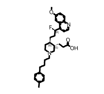 COc1ccc2nccc([C@H](F)CC[C@@H]3CCN(CCCCc4ccc(C)cc4)C[C@H]3CCC(=O)O)c2c1